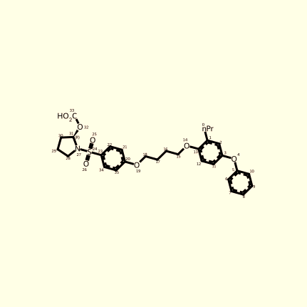 CCCc1cc(Oc2ccccc2)ccc1OCCCCOc1ccc(S(=O)(=O)N2CCC[C@H]2OC(=O)O)cc1